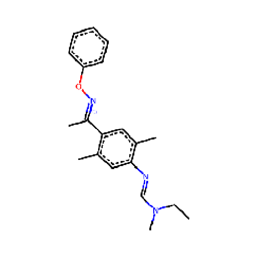 CCN(C)C=Nc1cc(C)c(/C(C)=N/Oc2ccccc2)cc1C